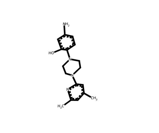 Cc1cc(C)nc(N2CCN(c3ccc(N)cc3O)CC2)c1